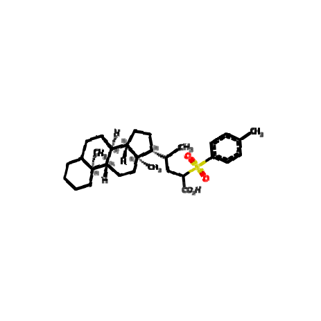 Cc1ccc(S(=O)(=O)C(CC(C)[C@H]2CC[C@H]3[C@@H]4CCC5CCCC[C@]5(C)[C@H]4CC[C@]23C)C(=O)O)cc1